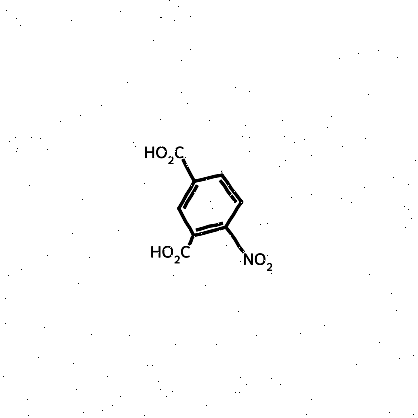 O=C(O)c1[c]cc([N+](=O)[O-])c(C(=O)O)c1